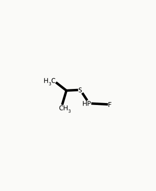 CC(C)SPF